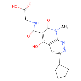 Cn1c(=O)c(C(=O)NCC(=O)O)c(O)c2cc(C3CCCC3)nnc21